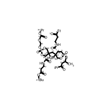 CCC(=O)CCNC(=O)[C@@H]1C[P@@](=O)(OC(C)CC(=O)C(C)C)OCC1(C)CC1(C)COP(=O)(OCOC(=O)OC(C)C)O[C@H]1C(=O)NCCC(=O)OC(C)(C)C